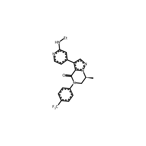 CCNc1cc(-c2cnn3c2C(=O)N(c2ccc(C(F)(F)F)cc2)C[C@@H]3C)ccn1